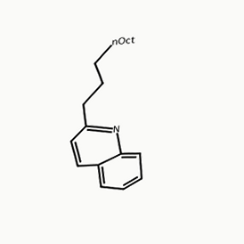 CCCCCCCCCCCc1ccc2ccccc2n1